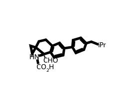 CC(C)Cc1ccc(-c2ccc3c(c2)CCC2(CC2)[C@]3(C=O)NC(=O)O)cc1